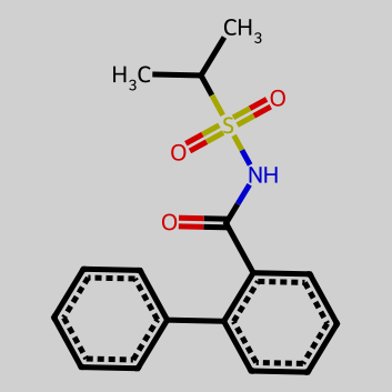 CC(C)S(=O)(=O)NC(=O)c1ccccc1-c1ccccc1